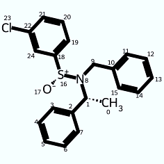 C[C@H](c1ccccc1)N(Cc1ccccc1)[S@+]([O-])c1cccc(Cl)c1